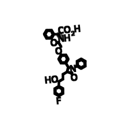 O=C(COc1ccc(C2C(CCC(O)c3ccc(F)cc3)C(=O)N2c2ccccc2)cc1)N[C@@H](C(=O)O)c1ccccc1